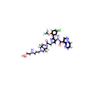 O=C(Nc1cn(CC(=O)N2C[C@H]3CN(CCCNCCO)C[C@H]3C2)nc1-c1cc(Cl)ccc1OC(F)F)c1cnn2cccnc12